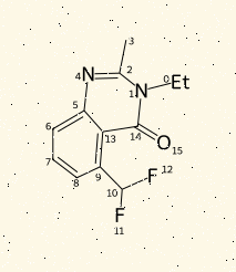 CCn1c(C)nc2cccc(C(F)F)c2c1=O